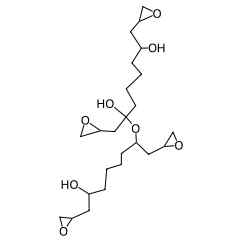 OC(CCCCC(CC1CO1)OC(O)(CCCCC(O)CC1CO1)CC1CO1)CC1CO1